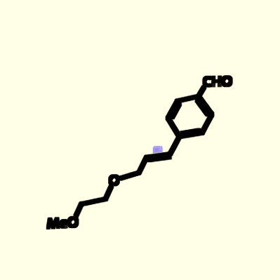 COCCOC/C=C/c1ccc(C=O)cc1